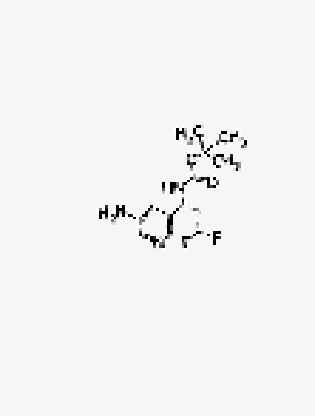 CC(C)(C)OC(=O)N[C@H](CC(F)F)c1cncc(N)c1